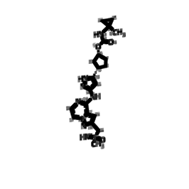 CC1(NC(=O)O[C@@H]2CC[C@H](c3cc(Nc4nccn5nc(CS(C)(=N)=O)cc45)n[nH]3)C2)CC1